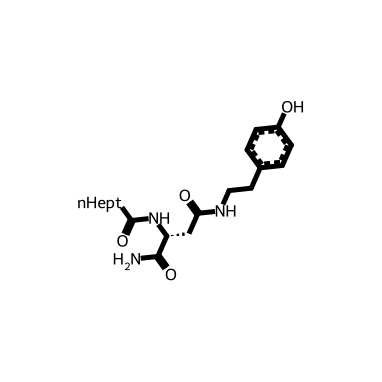 CCCCCCCC(=O)N[C@H](CC(=O)NCCc1ccc(O)cc1)C(N)=O